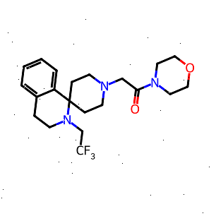 O=C(CN1CCC2(CC1)c1ccccc1CCN2CC(F)(F)F)N1CCOCC1